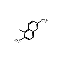 Cc1c(C(=O)O)ccc2cc(C(=O)O)ccc12